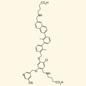 Cc1c(COc2cc(OCc3cncc(C#N)c3)c(CNCCCC(=O)O)cc2Cl)cccc1-c1cccc(-c2ccc3cc(CNCCCC(=O)O)ccc3c2)c1C